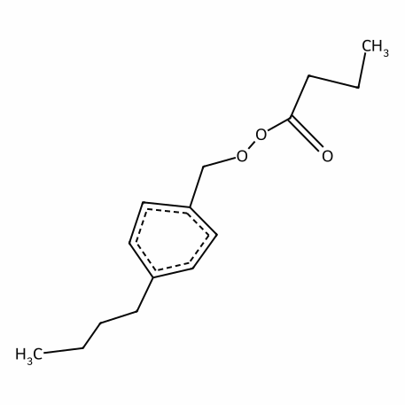 CCCCc1ccc(COOC(=O)CCC)cc1